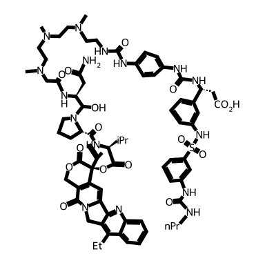 C=C(C)[C@@]1(OC(=O)[C@@H](NC(=O)[C@@H]2CCCN2C(O)[C@H](CC(N)=O)NC(=O)CN(C)CCN(C)CCN(C)CCNC(=O)Nc2ccc(NC(=O)N[C@H](CC(=O)O)c3cccc(NS(=O)(=O)c4cccc(NC(=O)NCCC)c4)c3)cc2)C(C)C)C(=O)OCc2c1cc1n(c2=O)Cc2c-1nc1ccccc1c2CC